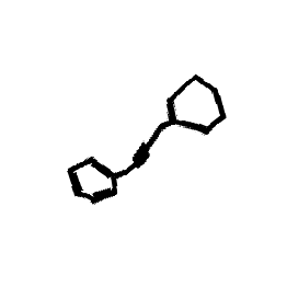 C(#CC1CCCCC1)c1ccccc1